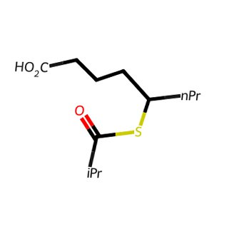 CCCC(CCCC(=O)O)SC(=O)C(C)C